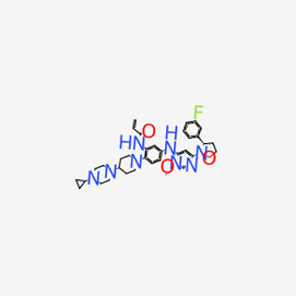 C=CC(=O)Nc1cc(Nc2cc(N3OCC[C@@H]3c3cccc(F)c3)ncn2)c(OC)cc1N1CCC(N2CCN(C3CC3)CC2)CC1